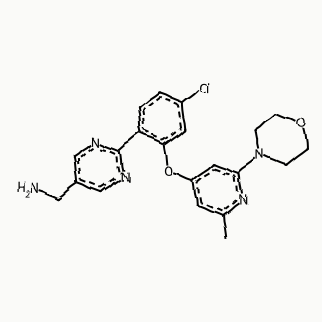 Cc1cc(Oc2cc(Cl)ccc2-c2ncc(CN)cn2)cc(N2CCOCC2)n1